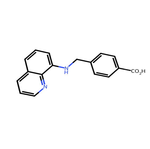 O=C(O)c1ccc(CNc2cccc3cccnc23)cc1